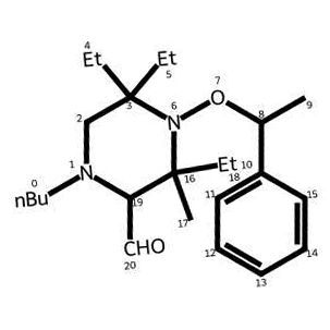 CCCCN1CC(CC)(CC)N(OC(C)c2ccccc2)C(C)(CC)C1C=O